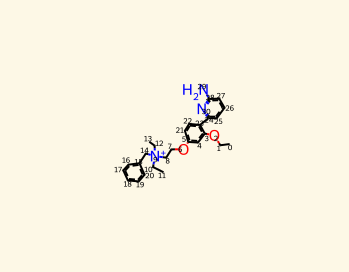 CCOc1cc(OCC[N+](CC)(CC)Cc2ccccc2)ccc1-c1cccc(N)n1